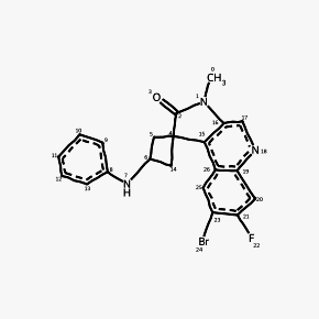 CN1C(=O)C2(CC(Nc3ccccc3)C2)c2c1cnc1cc(F)c(Br)cc21